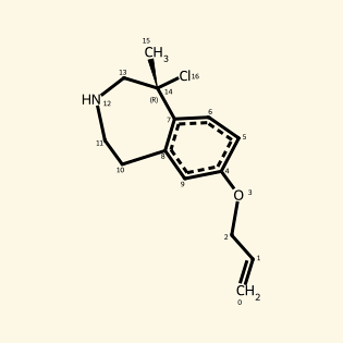 C=CCOc1ccc2c(c1)CCNC[C@]2(C)Cl